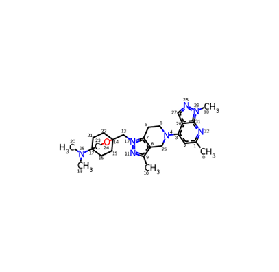 Cc1cc(N2CCc3c(c(C)nn3CC34CCC(N(C)C)(CC3)CO4)C2)c2cnn(C)c2n1